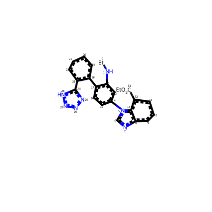 CCNc1cc(-n2cnc3cccc(C(=O)OCC)c32)ccc1-c1ccccc1-c1nnn[nH]1